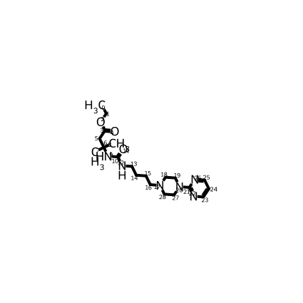 CCOC(=O)CC(C)(C)NC(=O)NCCCCN1CCN(c2ncccn2)CC1